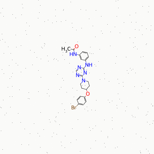 CC(=O)Nc1cccc(Nc2ncnc(N3CCC(Oc4ccc(Br)cc4)CC3)n2)c1